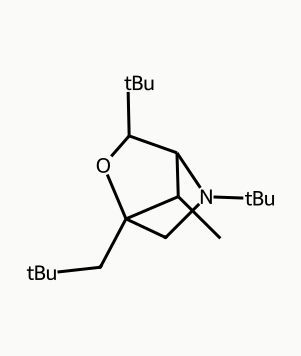 CC1C2C(C(C)(C)C)OC1(CC(C)(C)C)CN2C(C)(C)C